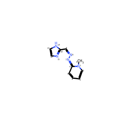 Cn1cccc/c1=N/N=C\c1ncc[nH]1